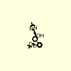 Cc1cnc(C#CC2(O)CC[C@@H](C(=O)OC(C)(C)C)[C@H](c3ccccc3)C2)nc1